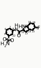 NS(=O)(=O)c1cccc(NC(=O)c2cc3cc(F)ccc3[nH]2)c1